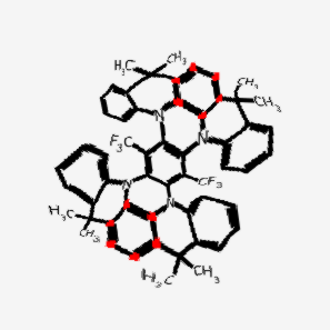 CC1(C)c2ccccc2N(c2c(N3c4ccccc4C(C)(C)c4ccccc43)c(C(F)(F)F)c(N3c4ccccc4C(C)(C)c4ccccc43)c(N3c4ccccc4C(C)(C)c4ccccc43)c2C(F)(F)F)c2ccccc21